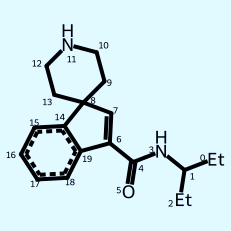 CCC(CC)NC(=O)C1=CC2(CCNCC2)c2ccccc21